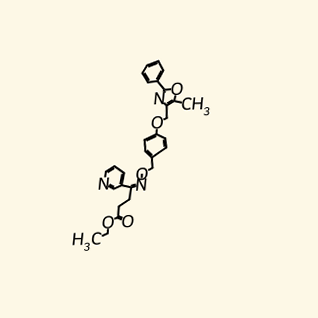 CCOC(=O)CCC(=NOCc1ccc(OCc2nc(-c3ccccc3)oc2C)cc1)c1cccnc1